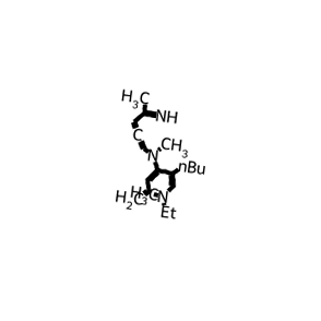 C=C/C=C(\C(=C/N(C)CC)CCCC)N(C)C=C=CC(C)=N